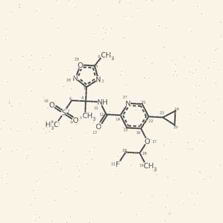 Cc1nc(C(C)(CS(C)(=O)=O)NC(=O)c2cc(OC(C)CF)c(C3CC3)cn2)no1